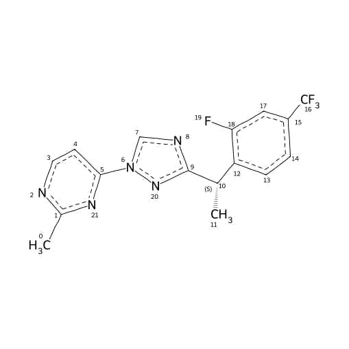 Cc1nccc(-n2cnc([C@@H](C)c3ccc(C(F)(F)F)cc3F)n2)n1